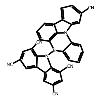 N#Cc1cc(C#N)c2c(c1)c1cc(C#N)cc(C#N)c1n2B1c2ccccc2-n2c3cc(C#N)ccc3c3cccc1c32